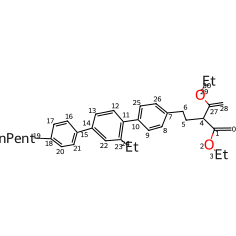 C=C(OCC)C(CCc1ccc(-c2ccc(-c3ccc(CCCCC)cc3)cc2CC)cc1)C(=C)OCC